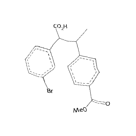 COC(=O)c1ccc(C(C)C(C(=O)O)c2cccc(Br)c2)cc1